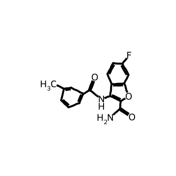 Cc1cccc(C(=O)Nc2c(C(N)=O)oc3cc(F)ccc23)c1